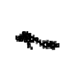 Cc1cc(OCCCC2CCN(c3ncc(Cl)cn3)CC2)cc(C)c1C(=O)NC(C)(CO)CO